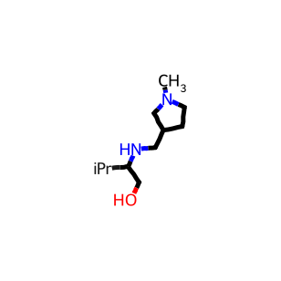 CC(C)C(CO)NCC1CCN(C)C1